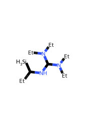 CCC([SiH3])NC(N(CC)CC)N(CC)CC